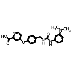 CN(C)c1cccc(NC(=O)NCc2ccc(Oc3ccnc(C(=O)O)c3)cc2)c1